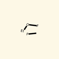 CCOF.CF